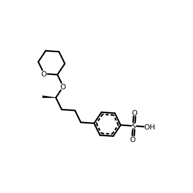 C[C@H](CCCc1ccc(S(=O)(=O)O)cc1)OC1CCCCO1